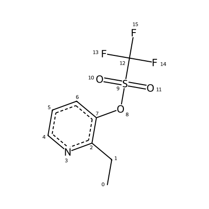 CCc1ncccc1OS(=O)(=O)C(F)(F)F